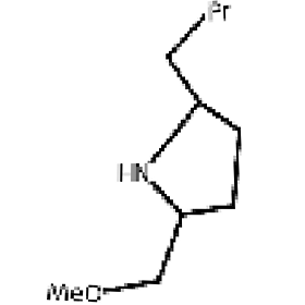 COCC1CCC(CC(C)C)N1